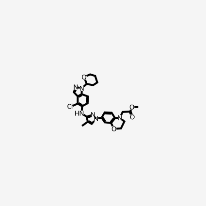 COC(=O)CN1CCOc2cc(-n3cc(C)c(Nc4ccc5c(cnn5C5CCCCO5)c4Cl)n3)ccc21